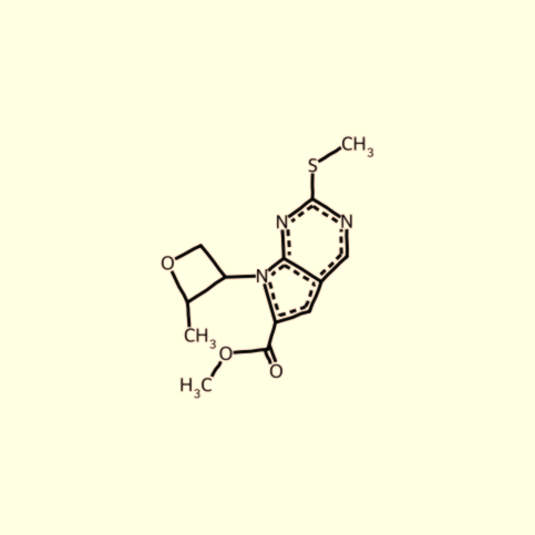 COC(=O)c1cc2cnc(SC)nc2n1C1COC1C